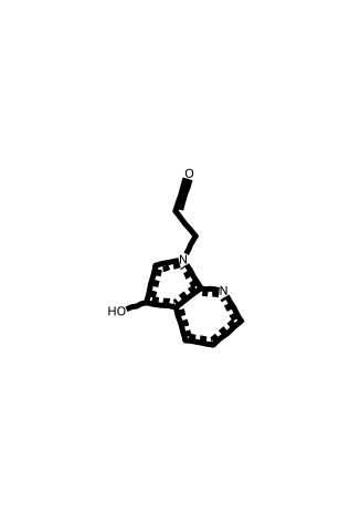 O=CCn1cc(O)c2cccnc21